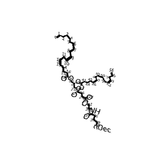 C=CC/C=C\C/C=C\C/C=C\C/C=C\CCCC(=O)OCC(COC(=O)CCC(=O)OCCNC(=O)CCCCCCCCCCCCC)OC(=O)CCC/C=C\C/C=C\C/C=C\CC=C